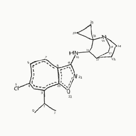 CC(C)c1c(Cl)ccc2c(NC3C4CCN(CC4)C34CC4)noc12